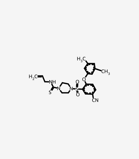 C=CCNC(=S)N1CCN(S(=O)(=O)c2cc(C#N)ccc2Oc2cc(C)cc(C)c2)CC1